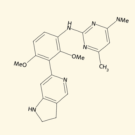 CNc1cc(C)nc(Nc2ccc(OC)c(-c3cc4c(cn3)CCN4)c2OC)n1